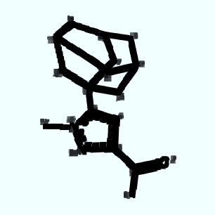 CC(=O)c1cc(C23CC4CC(CC(C4)C2)C3)n(C)n1